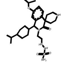 CC(C)Oc1ccc2c(c1)C(C1CCC(C(C)C)CC1)N(CCNNS(N)(=O)=O)C(=O)C21CCNCC1